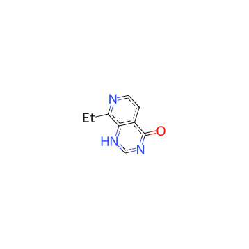 CCc1nccc2c(=O)nc[nH]c12